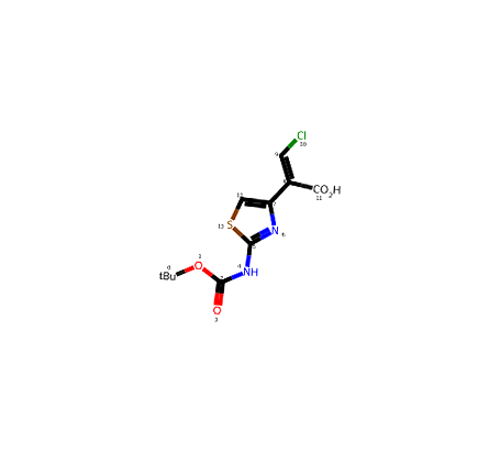 CC(C)(C)OC(=O)Nc1nc(C(=CCl)C(=O)O)cs1